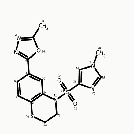 Cc1nnc(-c2ccc3c(c2)N(S(=O)(=O)c2cn(C)cn2)CCS3)o1